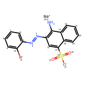 Nc1c(N=Nc2ccccc2Br)cc(S(=O)(=O)[O-])c2ccccc12.[Na+]